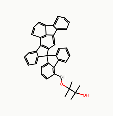 CC(C)(O)C(C)(C)OBc1cccc2c1-c1ccccc1C21c2ccccc2-c2c1cc1c3c(cccc23)-c2ccccc2-1